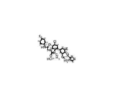 COc1cc(-c2cc(Cl)cc3c2n(C)c(=O)n3CC(=O)Nc2ccc(F)cc2)cc(F)c1OCc1nnc[nH]1.Cl